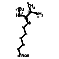 CCCCCCCCCCCCCCN=C(NC(C)(C)C)C(C)N